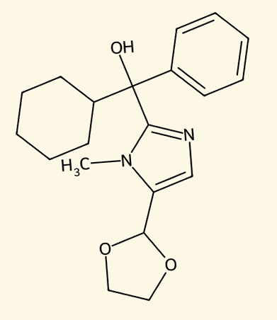 Cn1c(C2OCCO2)cnc1C(O)(c1ccccc1)C1CCCCC1